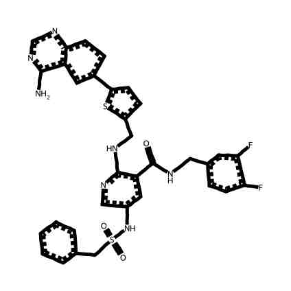 Nc1ncnc2ccc(-c3ccc(CNc4ncc(NS(=O)(=O)Cc5ccccc5)cc4C(=O)NCc4ccc(F)c(F)c4)s3)cc12